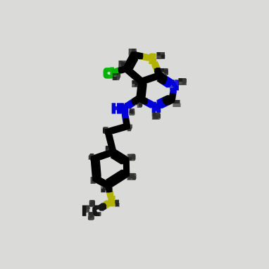 FC(F)(F)Sc1ccc(CCNc2ncnc3scc(Cl)c23)cc1